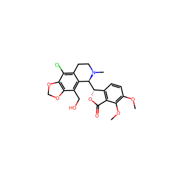 COc1ccc2c(c1OC)C(=O)O[C@@H]2[C@H]1c2c(c(Cl)c3c(c2CO)OCO3)CCN1C